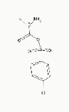 C[C@H](N)C(=O)OS(=O)(=O)c1ccc(Cl)cc1